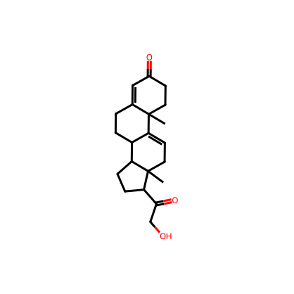 CC12CCC(=O)C=C1CCC1C2=CCC2(C)C(C(=O)CO)CCC12